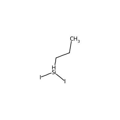 CCC[SiH](I)I